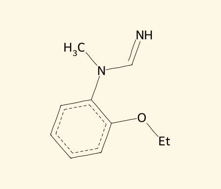 CCOc1ccccc1N(C)C=N